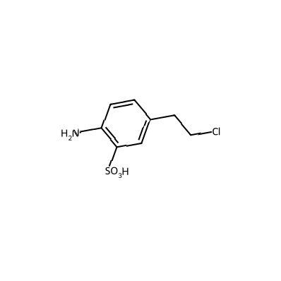 Nc1ccc(CCCl)cc1S(=O)(=O)O